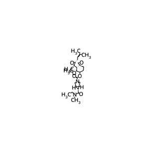 CCN(CC)C(=O)[C@H]1[C@@H]2CN(C(=O)O[C@@H]3CC[C@]4(CO4)[C@@H]([C@@]4(C)O[C@@H]4CC=C(C)C)[C@@H]3OC)C[C@@H]21